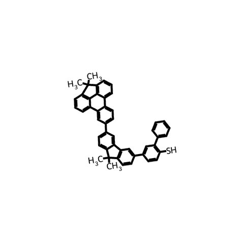 CC1(C)c2ccc(-c3ccc(S)c(-c4ccccc4)c3)cc2-c2cc(-c3ccc4c(c3)c3cccc5c3c3c(cccc43)C5(C)C)ccc21